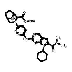 CN(C)C(=O)c1cc2cnc(Nc3ccc(N4CC5CCC(N5)C4C(=O)OC(C)(C)C)nn3)nc2n1C1CCCCC1